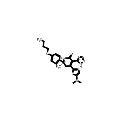 CN(C)c1cnc(C2=C(c3nnn[nH]3)C(=O)N[C@@](c3ccc(OCCCC(F)(F)F)cc3)(C(F)(F)F)C2)s1